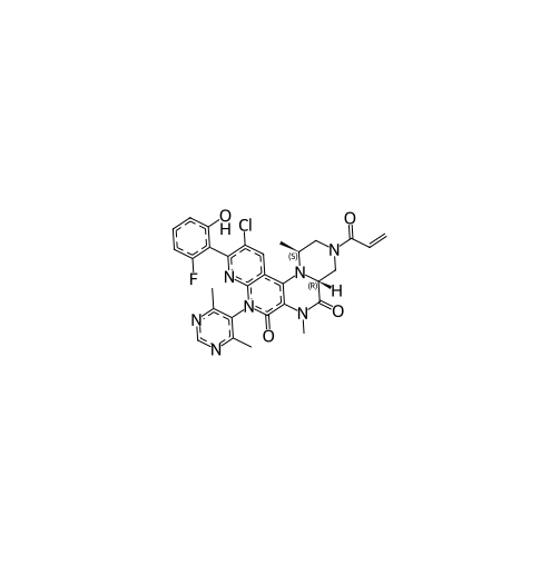 C=CC(=O)N1C[C@@H]2C(=O)N(C)c3c(c4cc(Cl)c(-c5c(O)cccc5F)nc4n(-c4c(C)ncnc4C)c3=O)N2[C@@H](C)C1